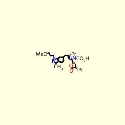 COCCCn1nc(C)c2ccc(C[C@H](C[C@H](NC(=O)O)[C@@H]3C[C@@H](C(C)C)C(=O)O3)C(C)C)cc21